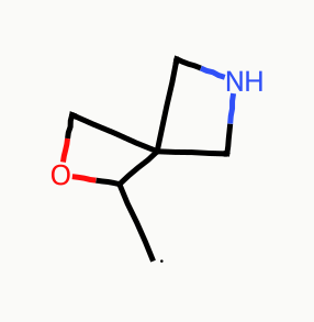 [CH2]C1OCC12CNC2